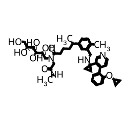 CNC(=O)CN(C[C@H](O)[C@@H](O)[C@H](O)[C@H](O)CO)C(=O)CCCC(C)c1ccc(C)c(CNC2(c3cnccc3-c3ccccc3OC3CC3)CC2)c1